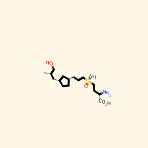 C[C@H](CO)C[C@H]1CC[C@@H](CCCS(=N)(=O)CC[C@H](N)C(=O)O)C1